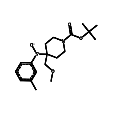 COCC1([S+]([O-])c2cccc(C)c2)CCN(C(=O)OC(C)(C)C)CC1